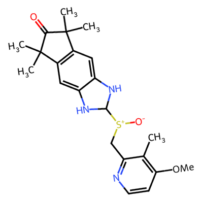 COc1ccnc(C[S+]([O-])C2Nc3cc4c(cc3N2)C(C)(C)C(=O)C4(C)C)c1C